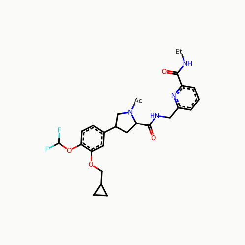 CCNC(=O)c1cccc(CNC(=O)[C@H]2CC(c3ccc(OC(F)F)c(OCC4CC4)c3)CN2C(C)=O)n1